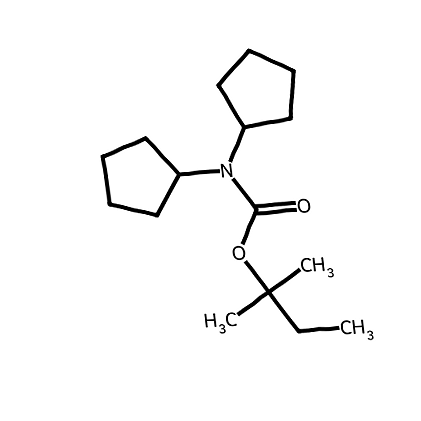 CCC(C)(C)OC(=O)N(C1CCCC1)C1CCCC1